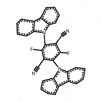 N#Cc1c(F)c(-n2c3ccccc3c3ccccc32)c(C#N)c(F)c1-n1c2ccccc2c2ccccc21